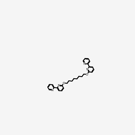 c1ccc(-c2cccc(OCCCCCCCCOc3cccc(-c4ccccn4)n3)n2)nc1